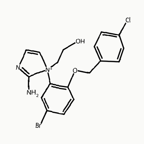 NC1=NC=C[N+]1(CCO)c1cc(Br)ccc1OCc1ccc(Cl)cc1